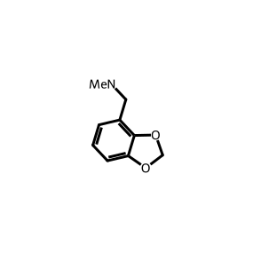 [CH2]NCc1cccc2c1OCO2